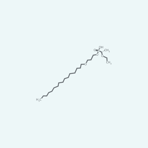 CCCCCCCCCCCCCCCCOCCCOP(=O)(O)[C@H](C)OCC